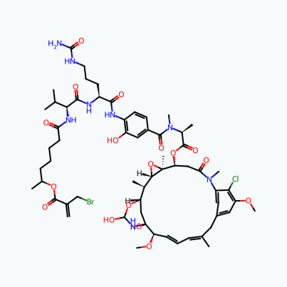 C=C(CBr)C(=O)OC(C)CCCCC(=O)N[C@H](C(=O)N[C@@H](CCCNC(N)=O)C(=O)Nc1ccc(C(=O)N(C)[C@@H](C)C(=O)O[C@H]2CC(=O)N(C)c3cc(cc(OC)c3Cl)C/C(C)=C/C=C/[C@@H](OC)[C@@]3(O)C[C@H](OC(O)N3)[C@@H](C)[C@@H]3O[C@@]23C)cc1O)C(C)C